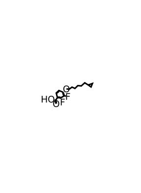 O=C(O)c1ccc(OCCCCCCC2CC2)c(F)c1F